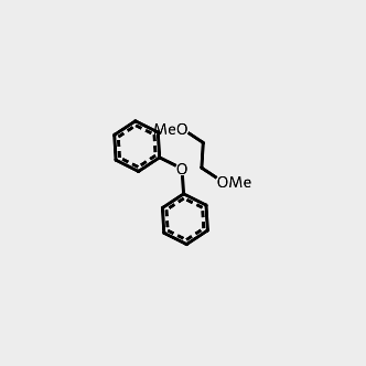 COCCOC.c1ccc(Oc2ccccc2)cc1